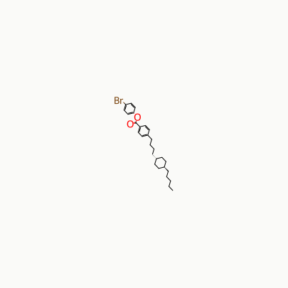 CCCCC[C@H]1CC[C@H](CCCCc2ccc(C(=O)Oc3ccc(Br)cc3)cc2)CC1